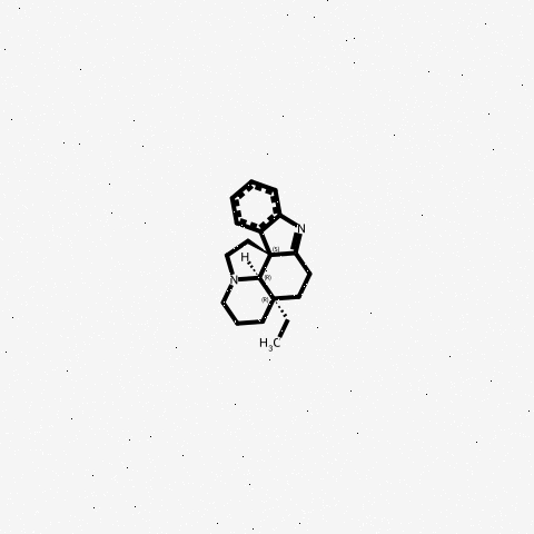 CC[C@@]12CCCN3CC[C@@]4(C(=Nc5ccccc54)CC1)[C@H]32